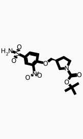 CC(C)(C)OC(=O)N1CC[C@H](COc2ccc(S(N)(=O)=O)cc2[N+](=O)[O-])C1